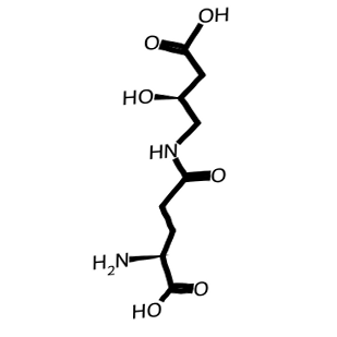 N[C@@H](CCC(=O)NC[C@@H](O)CC(=O)O)C(=O)O